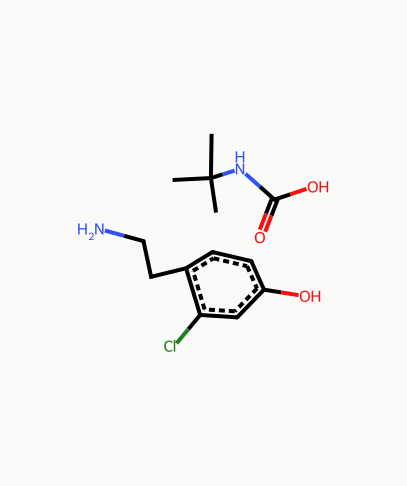 CC(C)(C)NC(=O)O.NCCc1ccc(O)cc1Cl